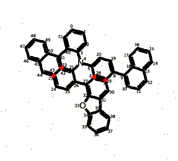 c1ccc(N(c2ccc(-c3cccc4ccccc34)cc2)c2ccccc2-c2cccc3c2oc2ccccc23)c(-c2cccc3ccccc23)c1